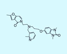 Cc1cc2c(=O)n(CCN(CCCOc3ccc4c(c3)n(C)c(=O)n4C)Cc3cccnc3C)ccc2o1